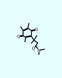 CC1=C(C)C(=O)C(C(C)(C)CC(=O)N(C)C)=C(C)C1=O